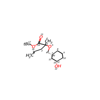 C=CCC(C)(OC[C@@H]1CCC[C@H](O)C1)C(=O)OC(C)(C)C